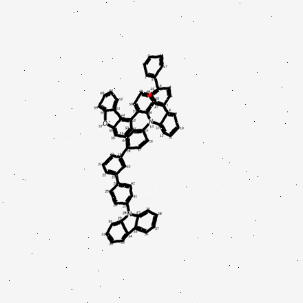 c1ccc(-c2ccc(-c3ccccc3N(c3ccc(-c4cccc(-c5ccc(-n6c7ccccc7c7ccccc76)cc5)c4)cc3)c3ccccc3-c3cccc4oc5ccccc5c34)cc2)cc1